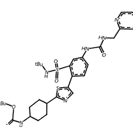 CC(C)(C)NS(=O)(=O)c1cc(NC(=O)NCc2ccccn2)ccc1-c1cnc(C2CCC(NC(=O)OC(C)(C)C)CC2)s1